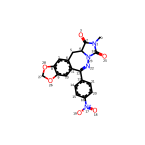 CN1C(=O)C2Cc3cc4c(cc3C(c3ccc([N+](=O)[O-])cc3)=NN2C1=O)OCO4